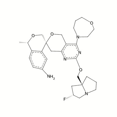 C[C@@H]1OC[C@]2(Cc3nc(OC[C@@]45CCCN4C[C@H](F)C5)nc(N4CCCOCC4)c3CO2)c2cc(N)ccc21